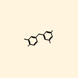 Cc1cc(Cc2cc(Cl)cc(Cl)c2)ccc1N